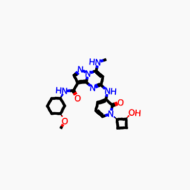 CNc1cc(Nc2cccn([C@H]3CC[C@H]3O)c2=O)nc2c(C(=O)N[C@@H]3CCC[C@@H](OC)C3)cnn12